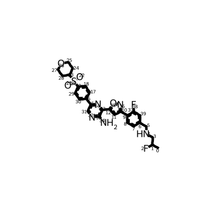 CC(F)CNCc1ccc(-c2cc(-c3nc(-c4ccc(S(=O)(=O)C5CCOCC5)cc4)cnc3N)on2)c(F)c1